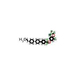 CCC[C@H]1CC[C@H](C2CCC(c3ccc(C(F)(F)Oc4cc(F)c(OC(F)(F)F)c(F)c4)cc3)CC2)CC1